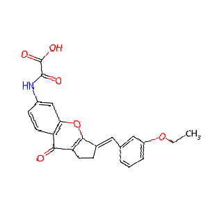 CCOc1cccc(C=C2CCc3c2oc2cc(NC(=O)C(=O)O)ccc2c3=O)c1